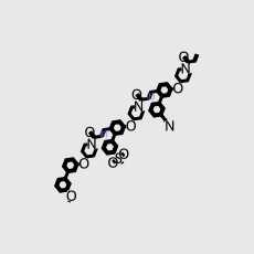 C=CC(=O)N1CCC(Oc2ccc(/C=C/C(=O)N3CCC(Oc4ccc(/C=C/C(=O)N5CCC(Oc6cccc(-c7cccc(OC)c7)c6)CC5)c(-c5cccc(S(C)(=O)=O)c5)c4)CC3)c(-c3cccc(C#N)c3)c2)CC1